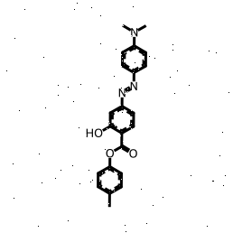 Cc1ccc(OC(=O)c2ccc(/N=N/c3ccc(N(C)C)cc3)cc2O)cc1